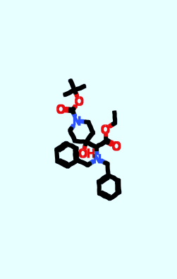 CCOC(=O)C(N(Cc1ccccc1)Cc1ccccc1)C1(O)CCN(C(=O)OC(C)(C)C)CC1